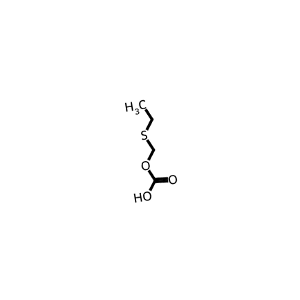 CCSCOC(=O)O